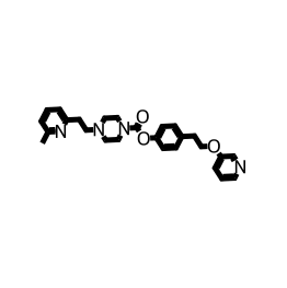 Cc1cccc(CCN2CCN(C(=O)Oc3ccc(CCOc4cccnc4)cc3)CC2)n1